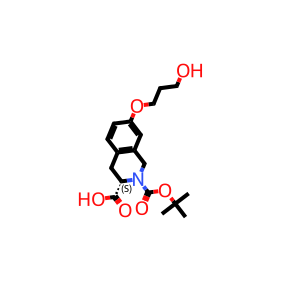 CC(C)(C)OC(=O)N1Cc2cc(OCCCO)ccc2C[C@H]1C(=O)O